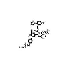 COC(=O)Nc1ccc(-c2cc(C(CC3CCCN(S(=O)(=O)C(C)C)C3)NC(=O)C=Cc3cc(Cl)ccc3-n3cnnn3)n[nH]c2=O)cc1